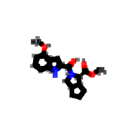 COC(=O)[C@@H]1C2CCCC2CN1C(=O)c1cc2c(OC)cccc2[nH]1